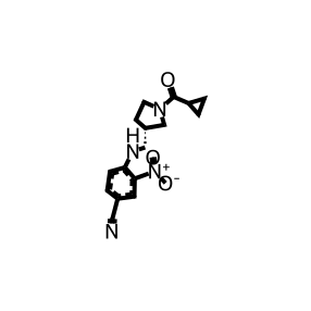 N#Cc1ccc(NC[C@@H]2CCN(C(=O)C3CC3)C2)c([N+](=O)[O-])c1